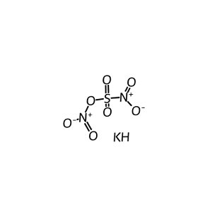 O=[N+]([O-])OS(=O)(=O)[N+](=O)[O-].[KH]